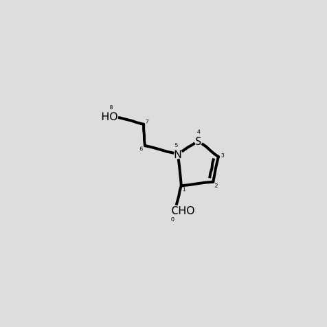 O=CC1C=CSN1CCO